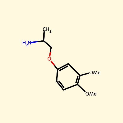 COc1ccc(OCC(C)N)cc1OC